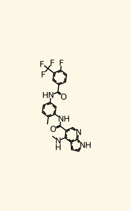 CNc1c(C(=O)Nc2cc(NC(=O)c3ccc(F)c(C(F)(F)F)c3)ccc2C)cnc2[nH]ccc12